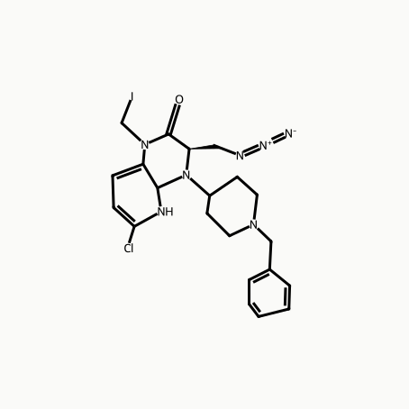 [N-]=[N+]=NC[C@@H]1C(=O)N(CI)C2=CC=C(Cl)NC2N1C1CCN(Cc2ccccc2)CC1